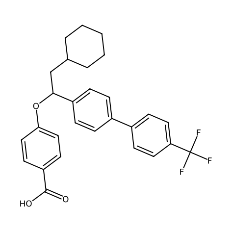 O=C(O)c1ccc(OC(CC2CCCCC2)c2ccc(-c3ccc(C(F)(F)F)cc3)cc2)cc1